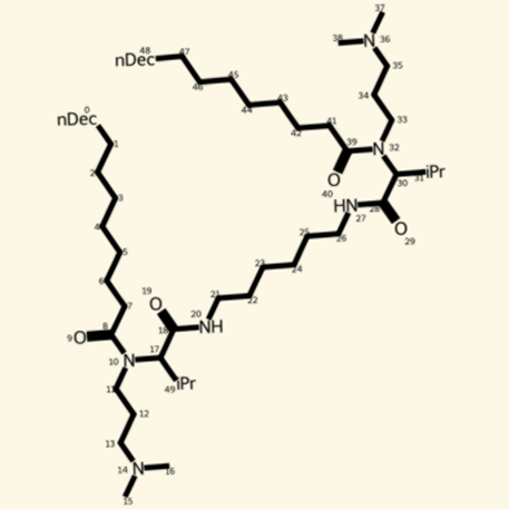 CCCCCCCCCCCCCCCCCC(=O)N(CCCN(C)C)C(C(=O)NCCCCCCNC(=O)C(C(C)C)N(CCCN(C)C)C(=O)CCCCCCCCCCCCCCCCC)C(C)C